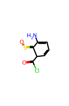 NC1=CC=CC(C(=O)Cl)C1=S=O